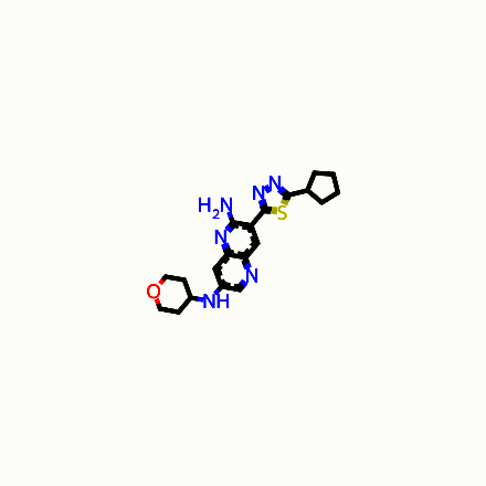 Nc1nc2cc(NC3CCOCC3)cnc2cc1-c1nnc(C2CCCC2)s1